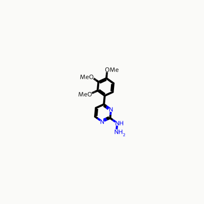 COc1ccc(-c2ccnc(NN)n2)c(OC)c1OC